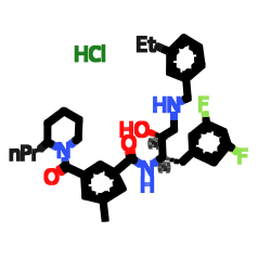 CCCC1CCCCN1C(=O)c1cc(C)cc(C(=O)N[C@@H](Cc2cc(F)cc(F)c2)[C@@H](O)CNCc2cccc(CC)c2)c1.Cl